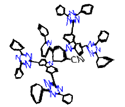 N#Cc1cc(-n2c3ccc(-c4nc(-c5ccccc5)nc(-c5ccccc5)n4)cc3c3cc(-c4nc(-c5ccccc5)nc(-c5ccccc5)n4)ccc32)c(-c2cccc(-c3ccccc3)n2)cc1-n1c2ccc(-c3nc(-c4ccccc4)nc(-c4ccccc4)n3)cc2c2cc(-c3nc(-c4ccccc4)nc(-c4ccccc4)n3)ccc21